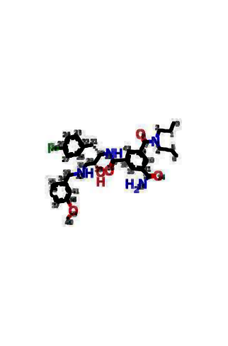 CCCN(CCC)C(=O)c1cc(C(N)=O)cc(C(=O)N[C@@H](Cc2ccc(F)cc2)[C@H](O)CNCc2cccc(OC)c2)c1